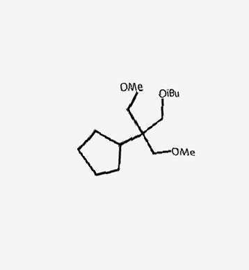 COCC(COC)(COCC(C)C)C1CCCC1